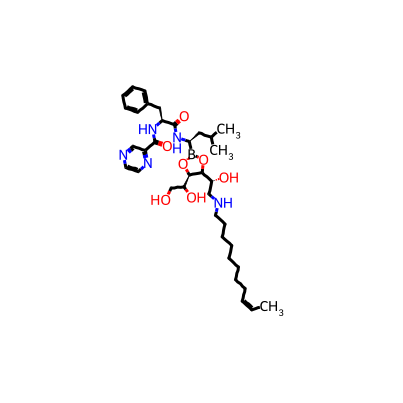 C/C=C\CCCCCCCCNC[C@@H](O)C1OB([C@H](CC(C)C)NC(=O)[C@H](Cc2ccccc2)NC(=O)c2cnccn2)O[C@@H]1C(O)CO